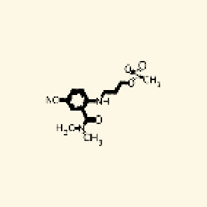 CN(C)C(=O)c1cc(C#N)ccc1NCCCOS(C)(=O)=O